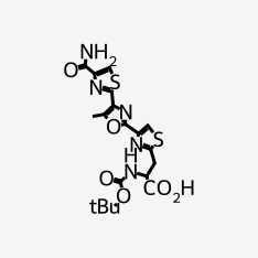 Cc1oc(-c2csc(CC(NC(=O)OC(C)(C)C)C(=O)O)n2)nc1-c1nc(C(N)=O)cs1